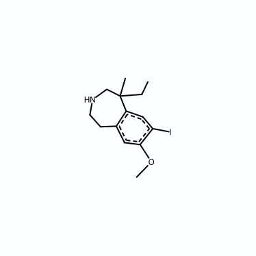 CCC1(C)CNCCc2cc(OC)c(I)cc21